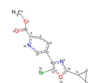 COC(=O)c1ccc(-c2nc(C3CC3)oc2Br)cn1